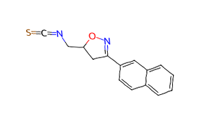 S=C=NCC1CC(c2ccc3ccccc3c2)=NO1